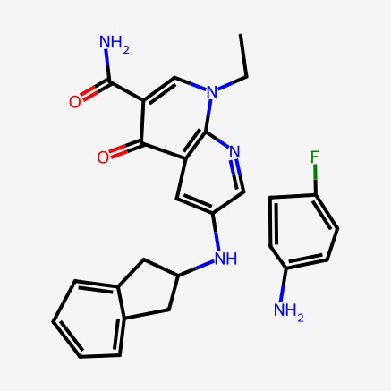 CCn1cc(C(N)=O)c(=O)c2cc(NC3Cc4ccccc4C3)cnc21.Nc1ccc(F)cc1